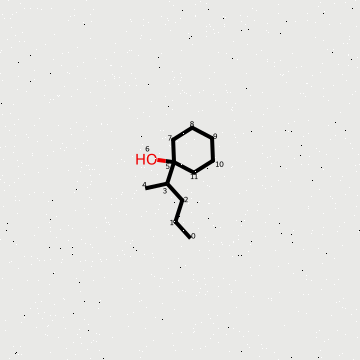 CCCC(C)C1(O)CCCCC1